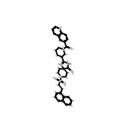 O=C(c1ccc2ncccc2c1)N1CCCC(C2=NC3(CCN(S(=O)(=O)CCc4cccc5ccccc45)CC3)C(=O)N2)C1